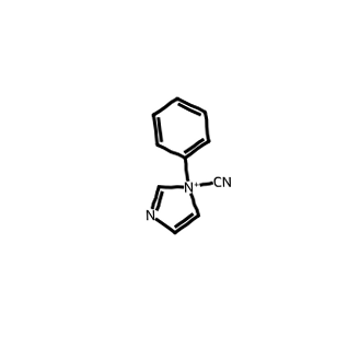 N#C[N+]1(c2ccccc2)C=CN=C1